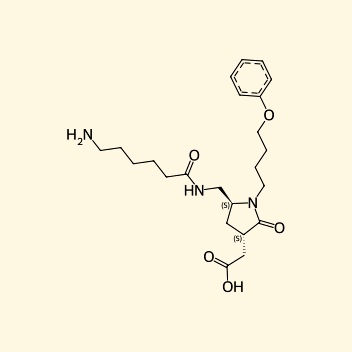 NCCCCCC(=O)NC[C@@H]1C[C@@H](CC(=O)O)C(=O)N1CCCCOc1ccccc1